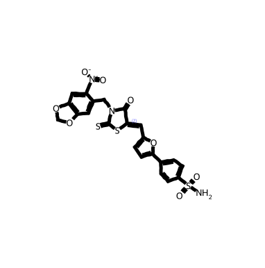 NS(=O)(=O)c1ccc(-c2ccc(/C=C3\SC(=S)N(Cc4cc5c(cc4[N+](=O)[O-])OCO5)C3=O)o2)cc1